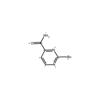 CCCCc1nccc(C(N)=O)n1